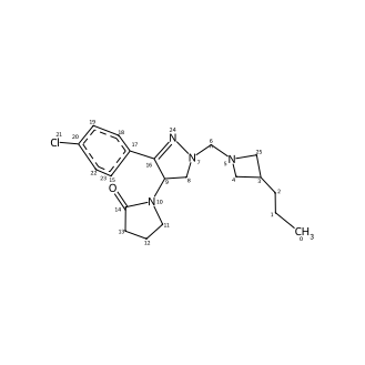 CCCC1CN([C]N2CC(N3CCCC3=O)C(c3ccc(Cl)cc3)=N2)C1